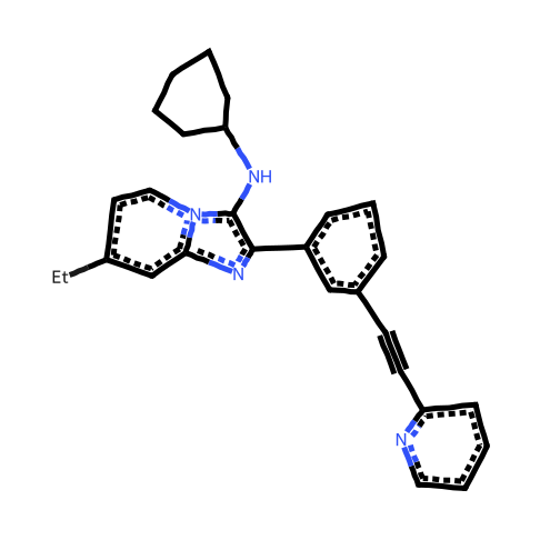 CCc1ccn2c(NC3CCCCC3)c(-c3cccc(C#Cc4ccccn4)c3)nc2c1